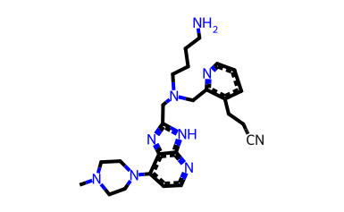 CN1CCN(c2ccnc3[nH]c(CN(CCCCN)Cc4ncccc4CCC#N)nc23)CC1